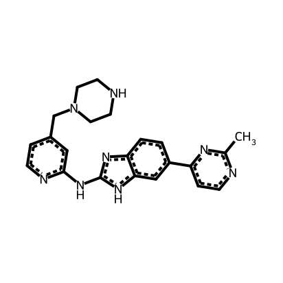 Cc1nccc(-c2ccc3nc(Nc4cc(CN5CCNCC5)ccn4)[nH]c3c2)n1